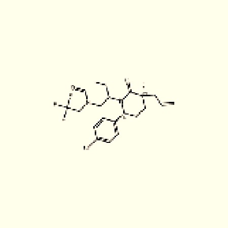 C=CC[C@@]1(C)CC[C@@H](c2ccc(Cl)cc2)N(C(CC)CN(C=O)CC(F)(F)F)C1=O